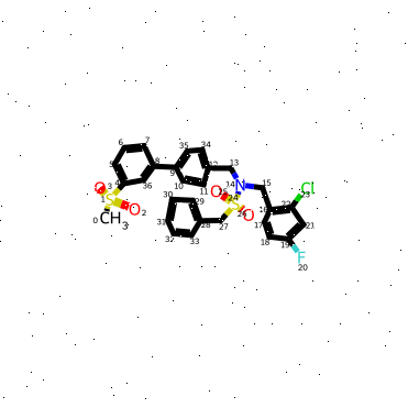 CS(=O)(=O)c1cccc(-c2ccc(CN(Cc3ccc(F)cc3Cl)S(=O)(=O)Cc3ccccc3)cc2)c1